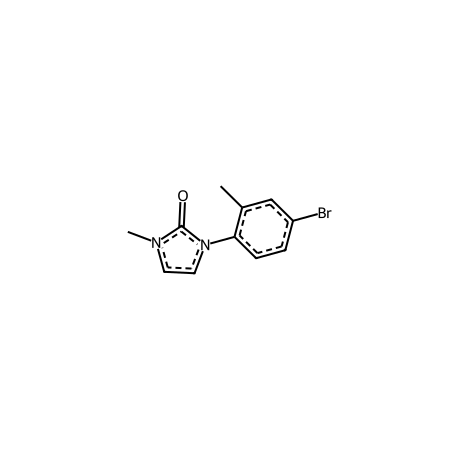 Cc1cc(Br)ccc1-n1ccn(C)c1=O